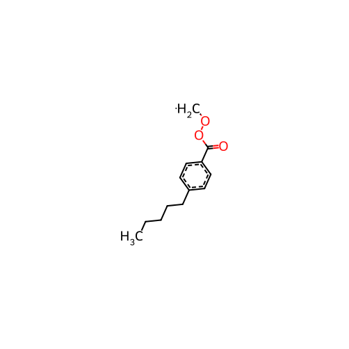 [CH2]OOC(=O)c1ccc(CCCCC)cc1